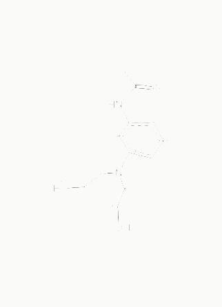 CC(=O)Nc1cccc(N(CCO)CCO)c1